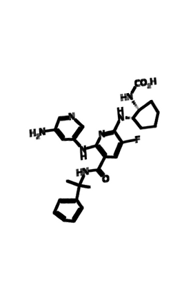 CC(C)(NC(=O)c1cc(F)c(N[C@H]2CCCC[C@H]2NC(=O)O)nc1Nc1cncc(N)c1)c1ccccc1